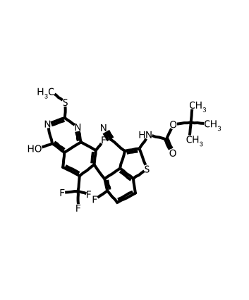 CSc1nc(O)c2cc(C(F)(F)F)c(-c3c(F)ccc4sc(NC(=O)OC(C)(C)C)c(C#N)c34)c(F)c2n1